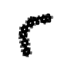 O=C(Cc1ccc2c(c1)OCO2)Nc1ccc(-c2ccc3ncc(N4CCN(c5cnccn5)CC4)nc3c2)cc1